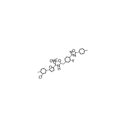 Cc1ccc(-c2nc(-c3ccc(CC(NC(=O)c4ccc(-c5ccc(C)c(Cl)c5)o4)OC=O)cc3F)no2)cc1